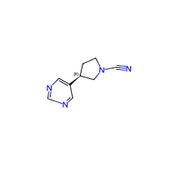 N#CN1CC[C@H](c2cncnc2)C1